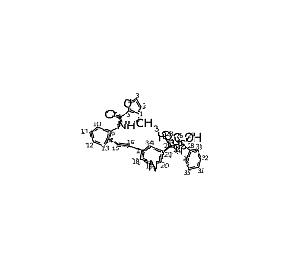 Cc1ccoc1C(=O)Nc1ccccc1C#Cc1cncc(C(=O)N=[SH](C)(O)c2ccccc2)c1